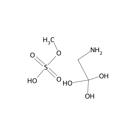 COS(=O)(=O)O.NCC(O)(O)O